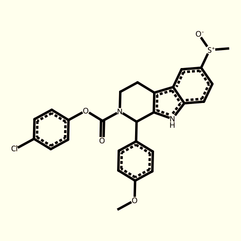 COc1ccc(C2c3[nH]c4ccc([S+](C)[O-])cc4c3CCN2C(=O)Oc2ccc(Cl)cc2)cc1